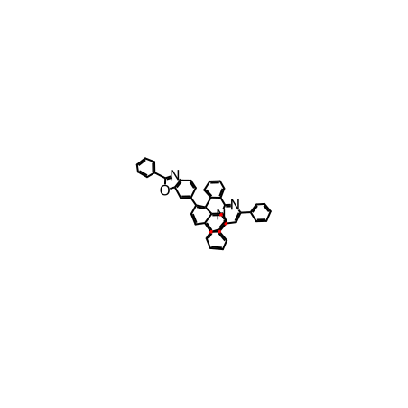 c1ccc(-c2cc(-c3ccccc3)nc(-c3ccccc3-c3c(-c4ccc5nc(-c6ccccc6)oc5c4)ccc4ccccc34)n2)cc1